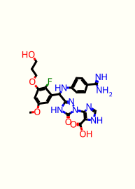 COc1cc(OCCCO)c(F)c(C(Nc2ccc(C(=N)N)cc2)c2nn(-c3nc[nH]c3C(=O)O)c(=O)[nH]2)c1